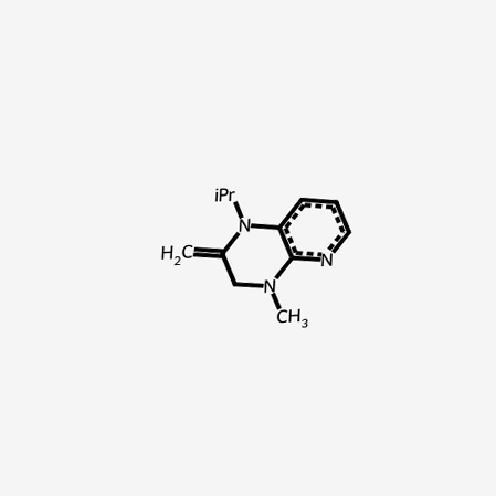 C=C1CN(C)c2ncccc2N1C(C)C